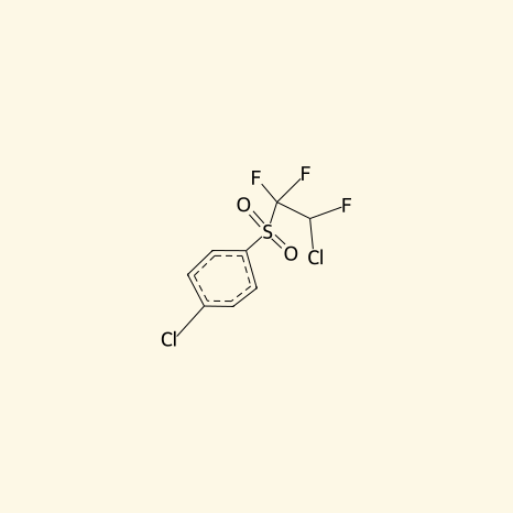 O=S(=O)(c1ccc(Cl)cc1)C(F)(F)C(F)Cl